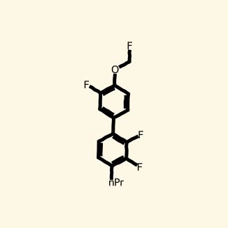 CCCc1ccc(-c2ccc(OCF)c(F)c2)c(F)c1F